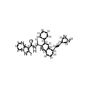 Cc1nn2cccnc2c1C(=O)NC(C)c1nc2cccc(C#Cc3cnn(C)c3)c2cc1-c1ccccc1